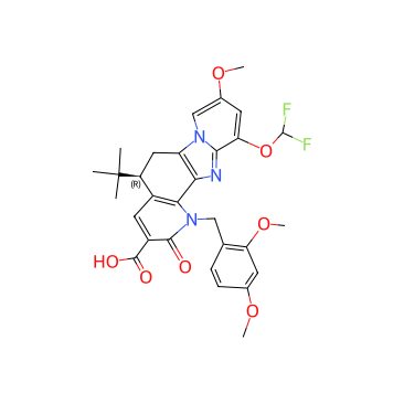 COc1ccc(Cn2c3c(cc(C(=O)O)c2=O)[C@@H](C(C)(C)C)Cc2c-3nc3c(OC(F)F)cc(OC)cn23)c(OC)c1